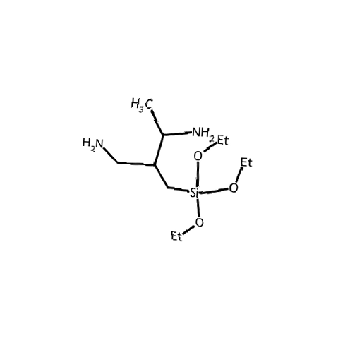 CCO[Si](CC(CN)C(C)N)(OCC)OCC